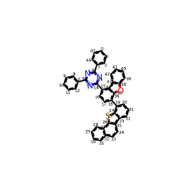 c1ccc(-c2nc(-c3ccccc3)nc(-c3ccc(-c4cccc5c4sc4c6ccccc6ccc54)c4oc5ccccc5c34)n2)cc1